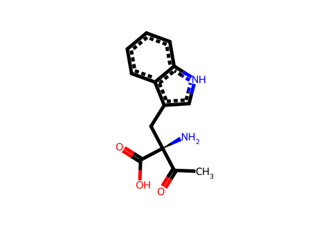 CC(=O)[C@@](N)(Cc1c[nH]c2ccccc12)C(=O)O